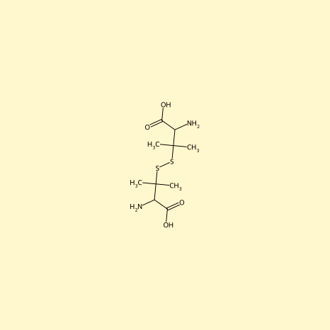 CC(C)(SSC(C)(C)C(N)C(=O)O)C(N)C(=O)O